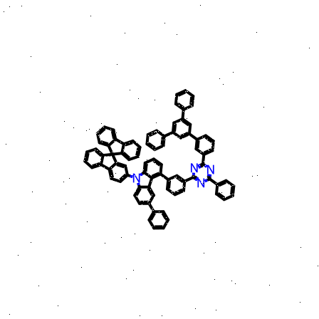 c1ccc(-c2cc(-c3ccccc3)cc(-c3cccc(-c4nc(-c5ccccc5)nc(-c5cccc(-c6cccc7c6c6cc(-c8ccccc8)ccc6n7-c6ccc7c(c6)C6(c8ccccc8-c8ccccc86)c6ccccc6-7)c5)n4)c3)c2)cc1